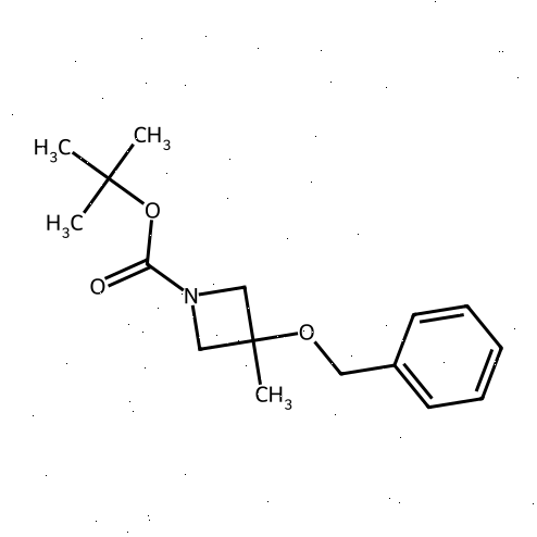 CC(C)(C)OC(=O)N1CC(C)(OCc2ccccc2)C1